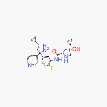 NC(CCC1CC1)(C1=CC=NC=C=C1)c1ccc(F)c(NC(=O)[C@H]2C[C@](O)(C3CC3)CN2)c1